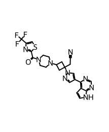 N#CCC1(n2cc(-c3ncnc4[nH]ccc34)cn2)CC(N2CCN(C(=O)c3nc(C(F)(F)F)cs3)CC2)C1